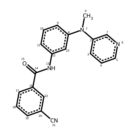 CN(c1cccnc1)c1cccc(NC(=O)c2cccc(C#N)c2)c1